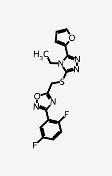 CCn1c(SCc2nc(-c3cc(F)ccc3F)no2)nnc1-c1ccco1